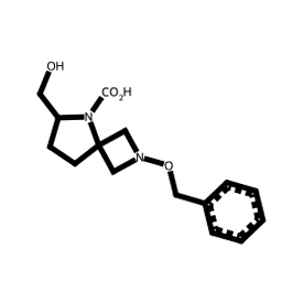 O=C(O)N1C(CO)CCC12CN(OCc1ccccc1)C2